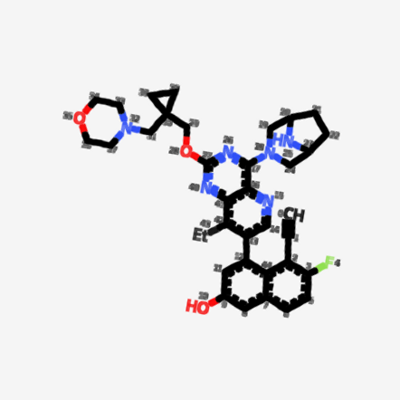 C#Cc1c(F)ccc2cc(O)cc(-c3cnc4c(N5CC6CCC(C5)N6)nc(OCC5(CN6CCOCC6)CC5)nc4c3CC)c12